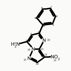 Nc1cc(-c2ccccc2)nc2c([N+](=O)[O-])cnn12